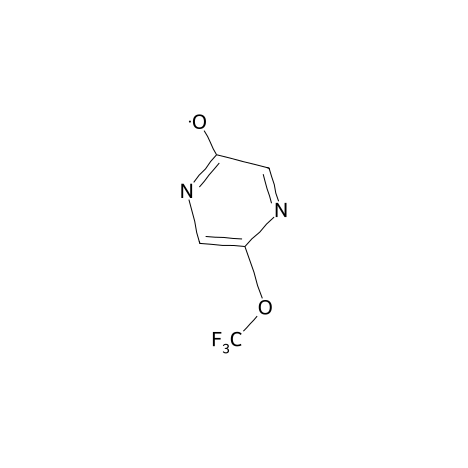 [O]c1cnc(OC(F)(F)F)cn1